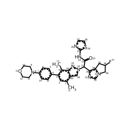 Cc1cc(-c2ccc(N3CCOCC3)cc2)c(C)c2nn(C(C(=O)Nc3nccs3)c3ncn4c3CC(F)C4)cc12